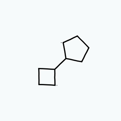 [CH]1CCC1C1[CH]CCC1